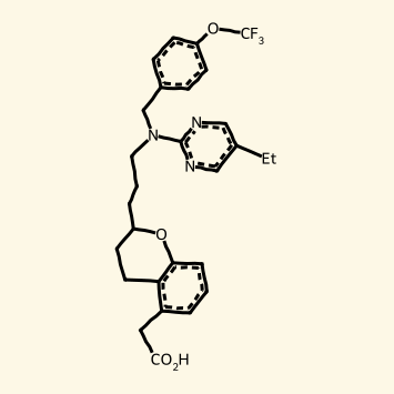 CCc1cnc(N(CCCC2CCc3c(CC(=O)O)cccc3O2)Cc2ccc(OC(F)(F)F)cc2)nc1